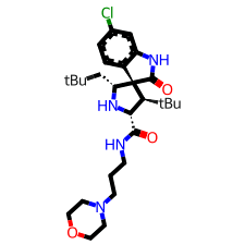 CC(C)(C)C[C@H]1N[C@@H](C(=O)NCCCN2CCOCC2)[C@H](C(C)(C)C)[C@@]12C(=O)Nc1cc(Cl)ccc12